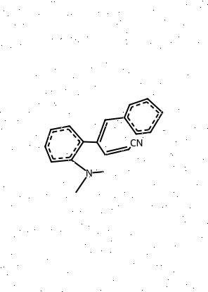 CN(C)c1ccccc1C(/C=C\C#N)=C/c1ccccc1